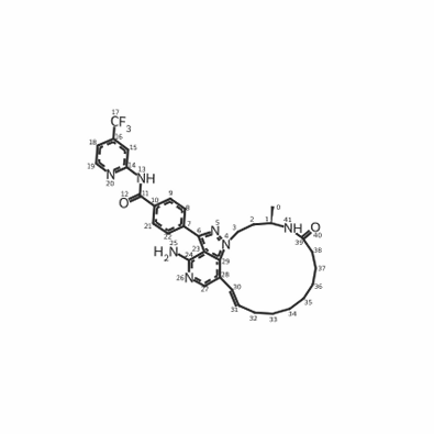 C[C@@H]1CCn2nc(-c3ccc(C(=O)Nc4cc(C(F)(F)F)ccn4)cc3)c3c(N)ncc(c32)/C=C/CCCCCCCC(=O)N1